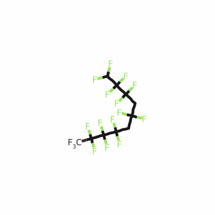 F[C](F)C(F)(F)C(F)(F)CC(F)(F)CC(F)(F)C(F)(F)C(F)(F)C(F)(F)F